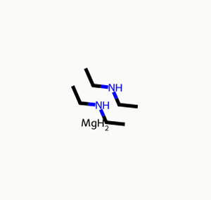 CCNCC.CCNCC.[MgH2]